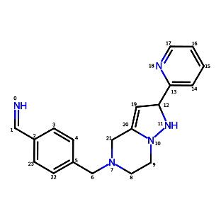 N=Cc1ccc(CN2CCN3NC(c4ccccn4)C=C3C2)cc1